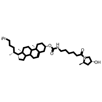 CC(C)CCC[C@@H](C)[C@H]1CCC2C3CC=C4C[C@@H](OC(=O)NCCCCCC(=O)N5C[C@H](O)C[C@H]5C)CC[C@]4(C)C3CC[C@@]21C